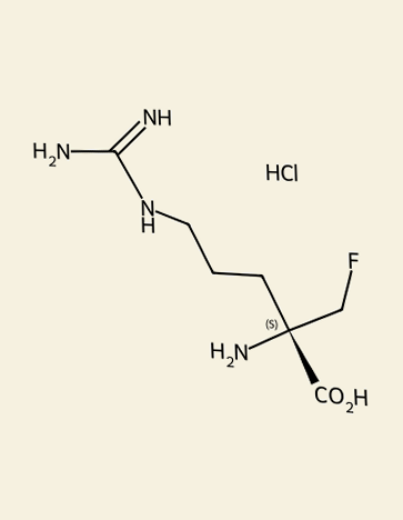 Cl.N=C(N)NCCC[C@@](N)(CF)C(=O)O